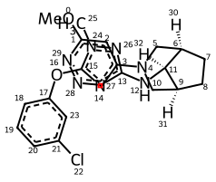 COc1cc(N2C[C@H]3CC[C@@H](C2)[C@H]3Nc2nc(Oc3cccc(Cl)c3)n(C)n2)cnn1